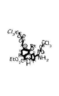 CCOC(=O)C(Nc1ccc(/C(N)=N/C(=O)OCC(Cl)(Cl)Cl)cc1)c1cc(OCC)c(OCCOC(=O)OCC(Cl)(Cl)Cl)cc1F